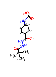 CC(C)(C)C(=O)NNC(=O)C1CCC(NC(=O)O)CC1